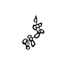 C1=CC2CC2C=C1c1c2ccccc2c(-c2cccc3c2sc2cc(-c4c5ccccc5c(-n5c6ccccc6c6ccccc65)c5ccccc45)ccc23)c2ccccc12